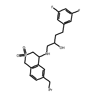 CC(C)Cc1ccc2c(c1)C(NCC(O)CCc1cc(F)cc(F)c1)CS(=O)(=O)C2